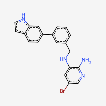 Nc1ncc(Br)cc1NCc1cccc(-c2ccc3cc[nH]c3c2)c1